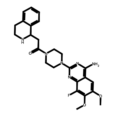 COc1cc2c(N)nc(N3CCN(C(=O)CC4NCCc5ccccc54)CC3)nc2c(F)c1OC